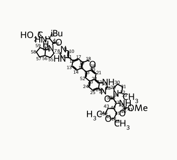 CC[C@H](C)[C@H](NC(=O)O)C(=O)N1[C@H](c2ncc(-c3ccc4c(c3)COc3cc5c(ccc6nc([C@@H]7CC[C@H](C)N7C(=O)[C@@H](NC(=O)OC)C7C[C@@H](C)O[C@H](C)C7)[nH]c65)cc3-4)[nH]2)CC2CCC[C@@H]21